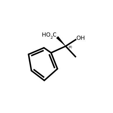 C[C@](O)(C(=O)O)c1ccccc1